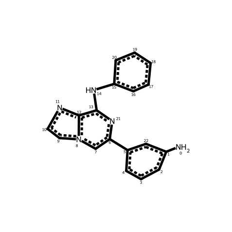 Nc1cccc(-c2cn3ccnc3c(Nc3ccccc3)n2)c1